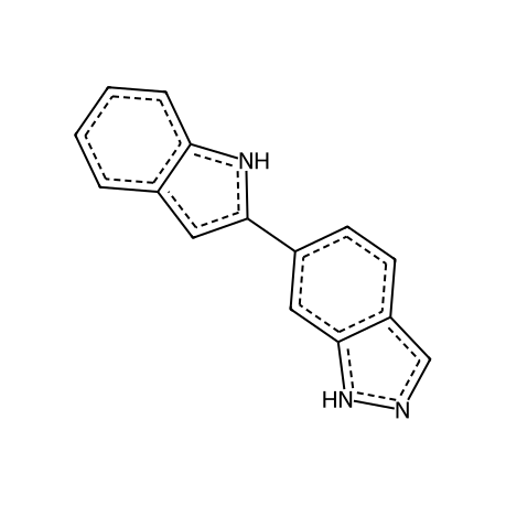 c1ccc2[nH]c(-c3ccc4cn[nH]c4c3)cc2c1